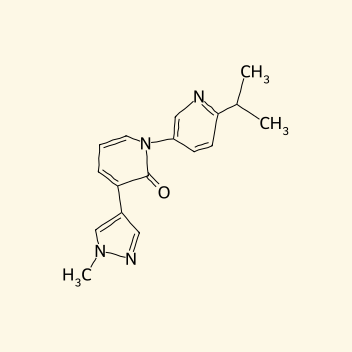 CC(C)c1ccc(-n2cccc(-c3cnn(C)c3)c2=O)cn1